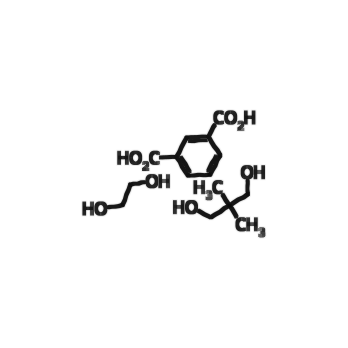 CC(C)(CO)CO.O=C(O)c1cccc(C(=O)O)c1.OCCO